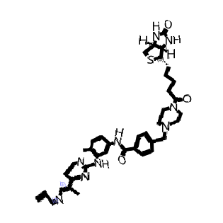 C=C/C=N\C=C(/C)c1ccnc(Nc2cc(NC(=O)c3ccc(CN4CCN(C(=O)CCCC[C@@H]5SC[C@@H]6NC(=O)N[C@@H]65)CC4)cc3)ccc2C)n1